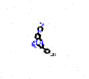 CN(C)C1CCN(c2ccc3c(c2)Cn2cc(-c4ccc(C#N)cc4)cc2-c2nncn2-3)CC1